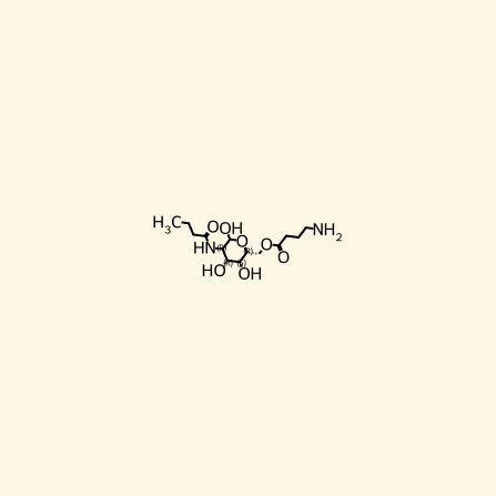 CCCC(=O)N[C@H]1C(O)O[C@H](COC(=O)CCCN)[C@@H](O)[C@@H]1O